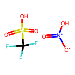 O=S(=O)(O)C(F)(F)F.O=[N+]([O-])O